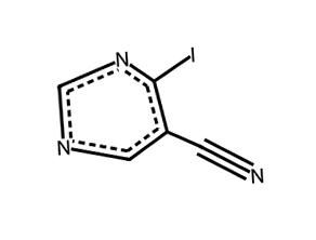 N#Cc1cncnc1I